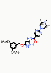 COc1cc(COc2cc(NC(=O)c3cnc(N4C[C@@H](C)N(C)[C@@H](C)C4)nc3)[nH]n2)cc(OC)c1